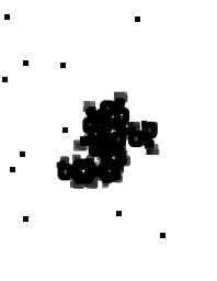 COc1ccc(C2CCc3ccc([C@]4(OC)O[C@H](COC(C)=O)[C@@H](OC(C)=O)[C@H](OC(C)=O)[C@H]4OC(C)=O)cc32)cc1